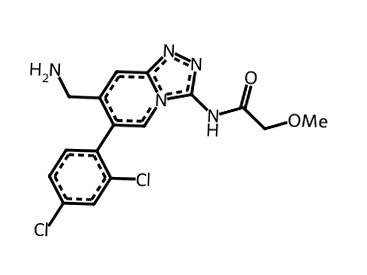 COCC(=O)Nc1nnc2cc(CN)c(-c3ccc(Cl)cc3Cl)cn12